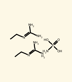 CCN=C(N)N.CCN=C(N)N.NP(=O)(O)O